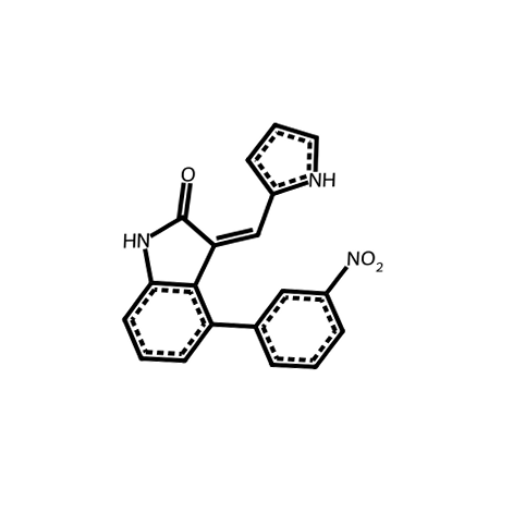 O=C1Nc2cccc(-c3cccc([N+](=O)[O-])c3)c2/C1=C/c1ccc[nH]1